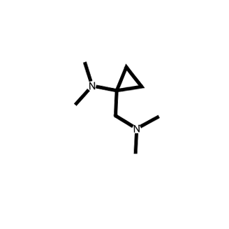 CN(C)CC1(N(C)C)CC1